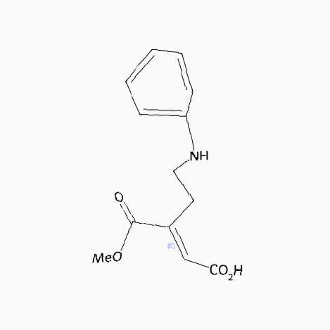 COC(=O)/C(=C/C(=O)O)CCNc1ccccc1